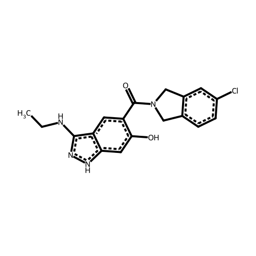 CCNc1n[nH]c2cc(O)c(C(=O)N3Cc4ccc(Cl)cc4C3)cc12